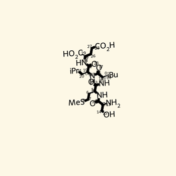 CC[C@H](C)[C@H](NC(=O)[C@H](CCSC)NC(=O)[C@@H](N)CO)C(=O)N[C@@H](CC(C)C)C(=O)N[C@@H](CCC(=O)O)C(=O)O